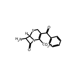 NC1C(=O)N2C(C(=O)O)=C(C(=O)c3ccccc3)CS[C@@H]12